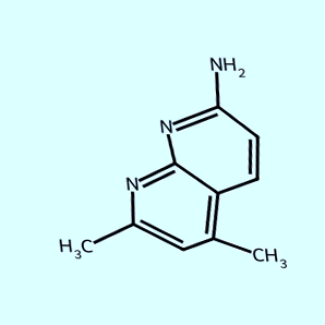 Cc1cc(C)c2ccc(N)nc2n1